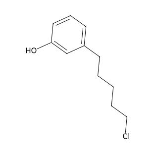 Oc1cccc(CCCCCCl)c1